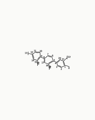 Cc1ccc(-c2ccc(-c3ccc(I)cc3F)cc2F)cc1I